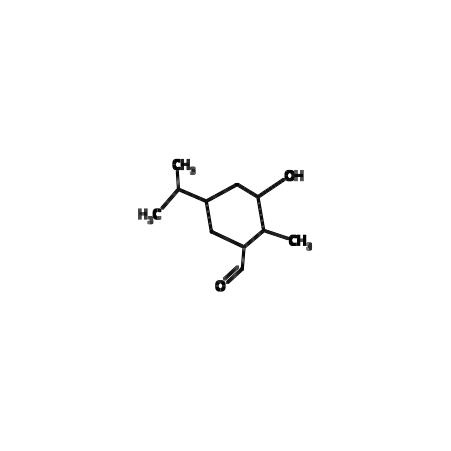 CC(C)C1CC(O)C(C)C(C=O)C1